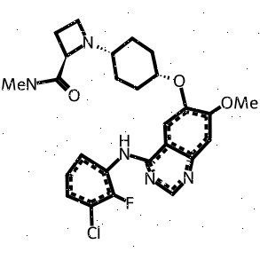 CNC(=O)[C@H]1CCN1[C@H]1CC[C@@H](Oc2cc3c(Nc4cccc(Cl)c4F)ncnc3cc2OC)CC1